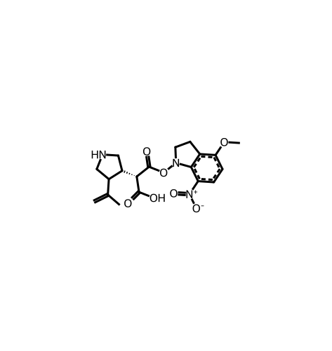 C=C(C)C1CNCC1[C@@H](C(=O)O)C(=O)ON1CCc2c(OC)ccc([N+](=O)[O-])c21